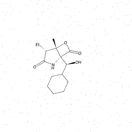 CC[C@H]1C(=O)N[C@@]2([C@@H](O)C3CCCCC3)C(=O)O[C@@]12C